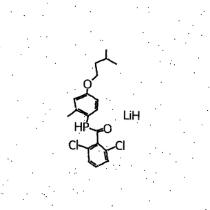 Cc1cc(OCCC(C)C)ccc1PC(=O)c1c(Cl)cccc1Cl.[LiH]